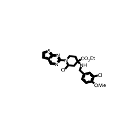 CCOC(=O)C1(NCc2ccc(OC)c(Cl)c2)CCN(c2ncc3ccsc3n2)C(Cl)C1